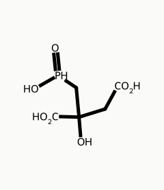 O=C(O)CC(O)(C[PH](=O)O)C(=O)O